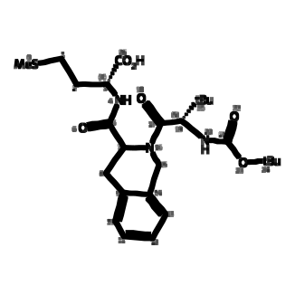 CSCC[C@@H](NC(=O)C1Cc2ccccc2CN1C(=O)[C@@H](NC(=O)OC(C)(C)C)C(C)(C)C)C(=O)O